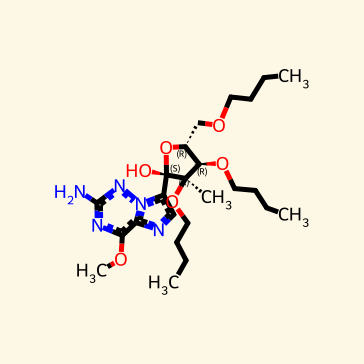 CCCCOC[C@H]1O[C@@](O)(c2cnc3c(OC)nc(N)nn23)[C@](C)(OCCCC)[C@@H]1OCCCC